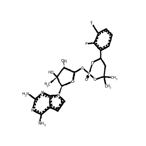 CC1(C)CC(c2cccc(F)c2F)OP(=O)(OC2O[C@@H](n3ccc4c(N)nc(N)nc43)[C@](C)(O)[C@@H]2O)O1